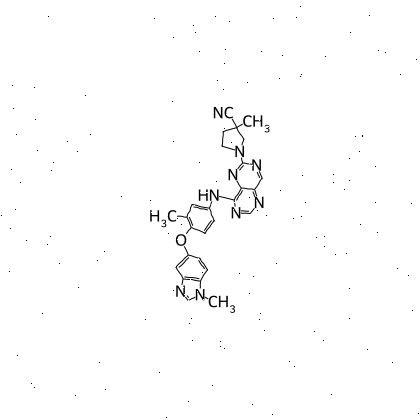 Cc1cc(Nc2ncnc3cnc(N4CCC(C)(C#N)C4)nc23)ccc1Oc1ccc2c(c1)ncn2C